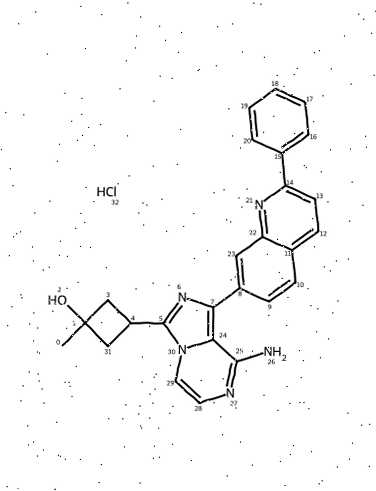 CC1(O)CC(c2nc(-c3ccc4ccc(-c5ccccc5)nc4c3)c3c(N)nccn23)C1.Cl